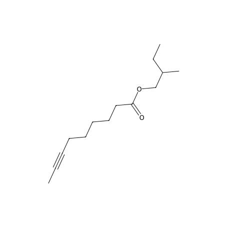 CC#CCCCCCC(=O)OCC(C)CC